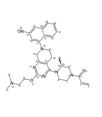 C=CC(=O)N1CCN(c2nc(OCCN(C)C)nc3c2CCN(c2cc(N=O)cc4ccccc24)C3)[C@@H](C)C1